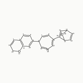 C1=Cc2ccc(C3C=CC(C4=CC5C=CC4O5)=CN=C3)cc2OC1